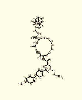 C=C1CNC(=O)C(NC(=C)C(CCCCN)NC(=O)c2ccc(-c3ccc(CCCC)cc3)cc2)COCCCCOCC(C(=O)NCB2O[C@@H]3CC4CC(C4(C)C)[C@]3(C)O2)N1